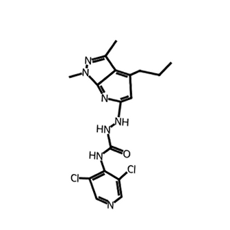 CCCc1cc(NNC(=O)Nc2c(Cl)cncc2Cl)nc2c1c(C)nn2C